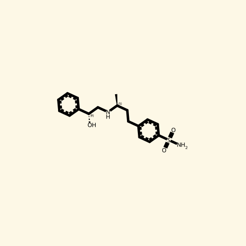 C[C@@H](CCc1ccc(S(N)(=O)=O)cc1)NC[C@H](O)c1ccccc1